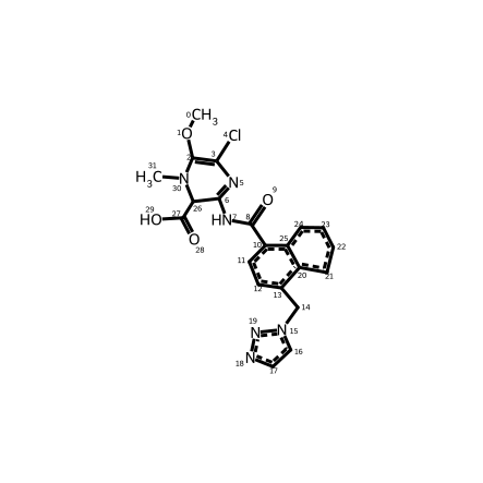 COC1=C(Cl)N=C(NC(=O)c2ccc(Cn3ccnn3)c3ccccc23)C(C(=O)O)N1C